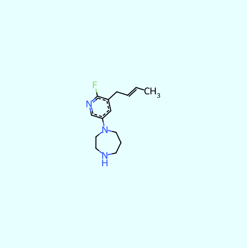 CC=CCc1cc(N2CCCNCC2)cnc1F